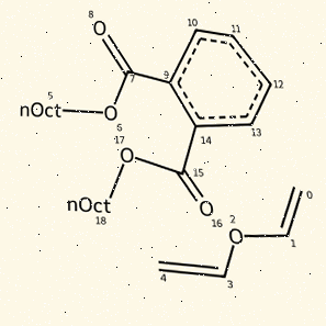 C=COC=C.CCCCCCCCOC(=O)c1ccccc1C(=O)OCCCCCCCC